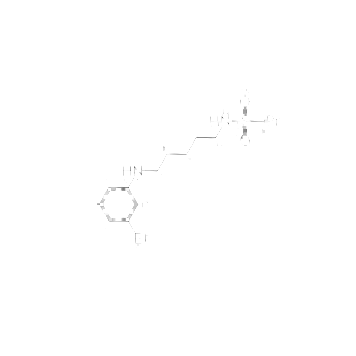 CCc1cccc(NCCCCCNS(=O)(=O)C(C)C)c1